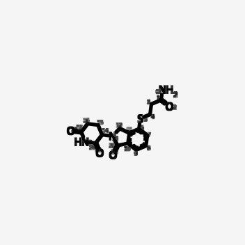 NC(=O)CCSc1cccc2c1CN(C1CCC(=O)NC1=O)C2=O